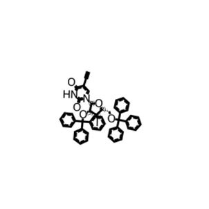 C#Cc1cn([C@@H]2O[C@H](COC(c3ccccc3)(c3ccccc3)c3ccccc3)[C@@H](I)[C@H]2OC(c2ccccc2)(c2ccccc2)c2ccccc2)c(=O)[nH]c1=O